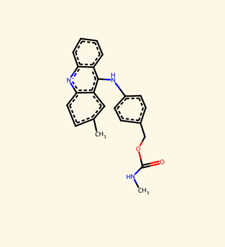 CNC(=O)OCc1ccc(Nc2c3ccccc3nc3ccc(C)cc23)cc1